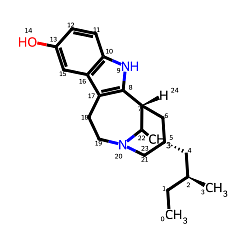 CC[C@H](C)C[C@H]1C[C@H]2c3[nH]c4ccc(O)cc4c3CCN(C1)C2C